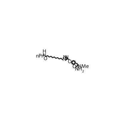 CCCNC(=O)CCCCCCCCCCn1cc(COc2ccc(C[C@H](NC)C(N)=O)cc2)nn1